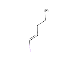 CC(C)CCC=CI